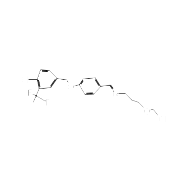 CCOCCCN=Cc1ccc(OCc2ccc(Cl)c(C(F)(F)F)c2)cc1